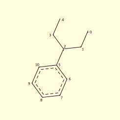 [CH2]C[C](CC)c1ccccc1